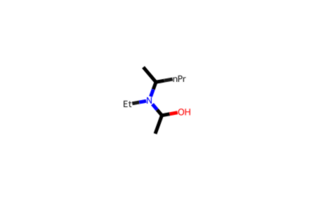 CCCC(C)N(CC)C(C)O